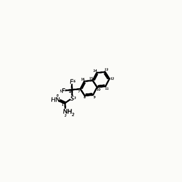 N=C(N)SC(F)(F)c1ccc2ccccc2c1